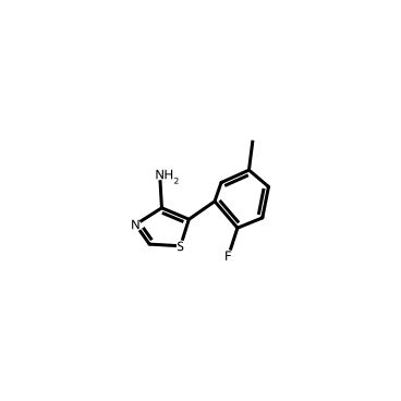 Cc1ccc(F)c(-c2scnc2N)c1